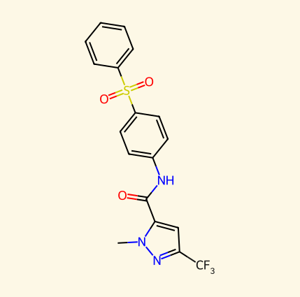 Cn1nc(C(F)(F)F)cc1C(=O)Nc1ccc(S(=O)(=O)c2ccccc2)cc1